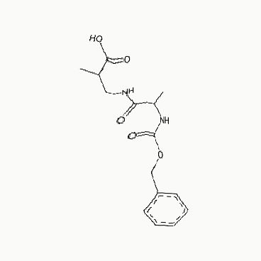 CC(CNC(=O)C(C)NC(=O)OCc1ccccc1)C(=O)O